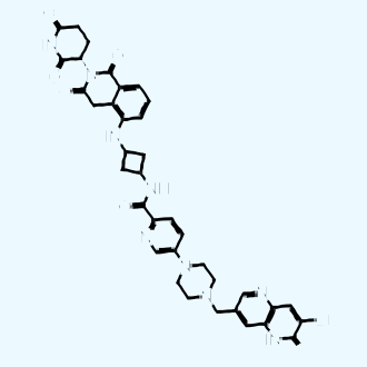 CCc1cc2ncc(CN3CCN(c4ccc(C(=O)NC5CC(Nc6cccc7c6CC(=O)N([C@@H]6CCC(=O)NC6=O)C7=O)C5)nc4)CC3)cc2[nH]c1=O